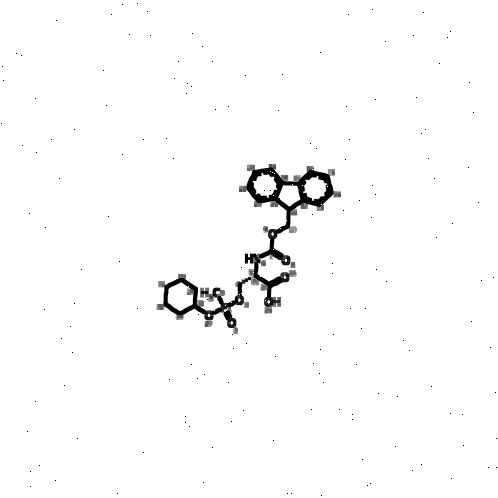 CP(=O)(OC[C@H](NC(=O)OCC1c2ccccc2-c2ccccc21)C(=O)O)OC1CCCCC1